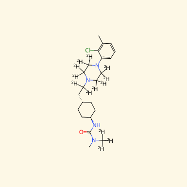 [2H]C([2H])([2H])N(C)C(=O)N[C@H]1CC[C@H](CC([2H])([2H])N2C([2H])([2H])C([2H])([2H])N(c3cccc(C)c3Cl)C([2H])([2H])C2([2H])[2H])CC1